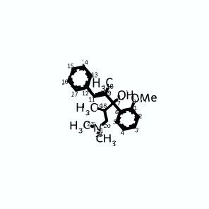 COc1ccccc1C(O)(C(C)=Cc1ccccc1)C(C)CN(C)C